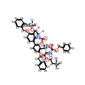 C[C@H](NC(=O)OC(C)(C)C)[C@](C)(O[Si](C)(C)C(C)(C)C)c1cc(-c2ccc(OCc3ccccc3)c(C[C@H](NC(=O)OCc3ccccc3)C(=O)OCC[Si](C)(C)C)c2)ccc1OCc1ccccc1